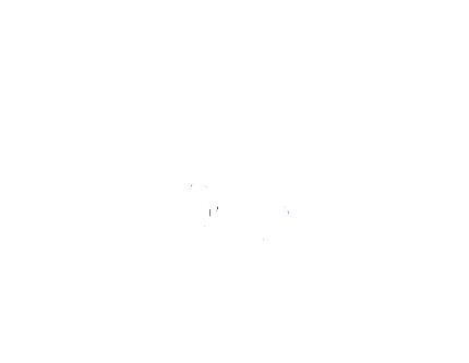 CCC(C)=NO.CO[SiH3]